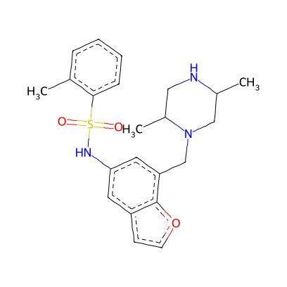 Cc1ccccc1S(=O)(=O)Nc1cc(CN2CC(C)NCC2C)c2occc2c1